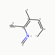 C=N/C(=C(C)\C=C/C)C(C)(C)C